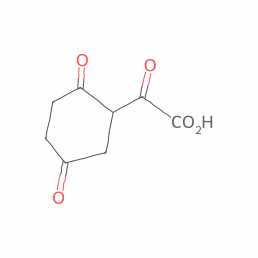 O=C1CCC(=O)C(C(=O)C(=O)O)C1